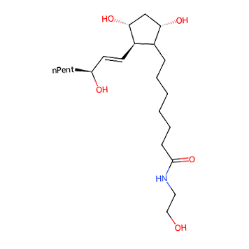 CCCCC[C@H](O)/C=C/[C@@H]1C(CCCCCCC(=O)NCCO)[C@@H](O)C[C@H]1O